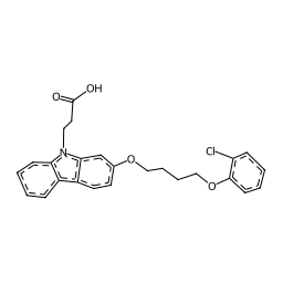 O=C(O)CCn1c2ccccc2c2ccc(OCCCCOc3ccccc3Cl)cc21